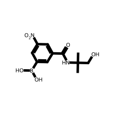 CC(C)(CO)NC(=O)c1cc(B(O)O)cc([N+](=O)[O-])c1